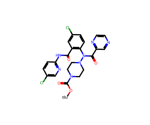 CC(C)(C)OC(=O)N1CCN(N(C(=O)c2cnccn2)c2ccc(Cl)cc2C(=O)Nc2ccc(Cl)cn2)CC1